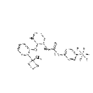 O=C(Nc1ccc(S(F)(F)(F)(F)F)cc1)NC1CCCNC1Oc1ccccc1C1(C(F)(F)F)CCO1